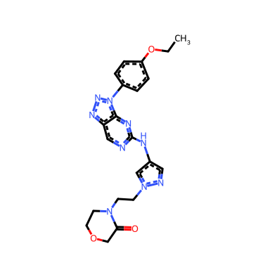 CCOc1ccc(-n2nnc3cnc(Nc4cnn(CCN5CCOCC5=O)c4)nc32)cc1